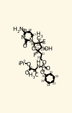 CC(C)OC(=O)[C@H](C)NP(=O)(OCC[C@@]1(F)O[C@@H](n2ccc(N)nc2=O)[C@](C)(F)[C@@H]1O)Oc1ccccc1